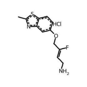 Cc1nc2cc(OCC(F)=CCN)ccc2s1.Cl